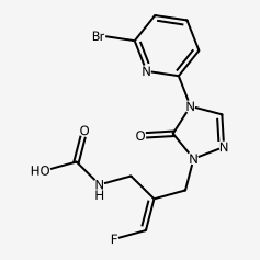 O=C(O)NC/C(=C\F)Cn1ncn(-c2cccc(Br)n2)c1=O